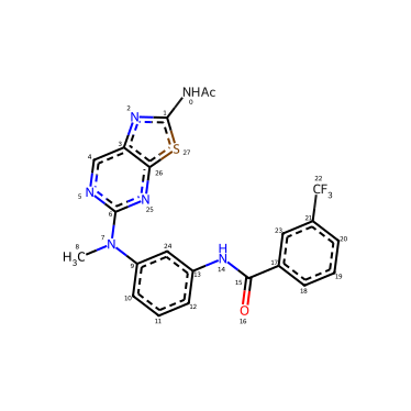 CC(=O)Nc1nc2cnc(N(C)c3cccc(NC(=O)c4cccc(C(F)(F)F)c4)c3)nc2s1